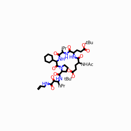 C=CCNC(=O)C(=O)C(CCC)NC(=O)C1CCCN1C(=O)C(NC(=O)C(NC(=O)C(CCC(=O)OC(C)(C)C)NC(=O)C(CCC(=O)OC(C)(C)C)NC(C)=O)C(C)C)C1CCCCC1